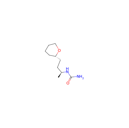 C[C@@H](CC[C@@H]1CCCCO1)NC(N)=O